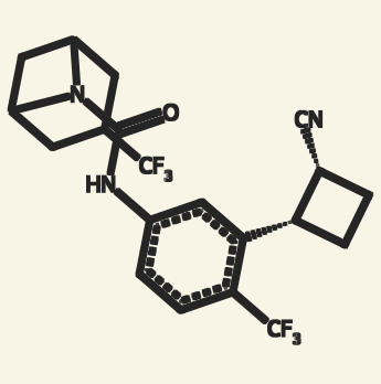 N#C[C@@H]1CC[C@@H]1c1cc(NC(=O)N2C3CC2CC(C(F)(F)F)C3)ccc1C(F)(F)F